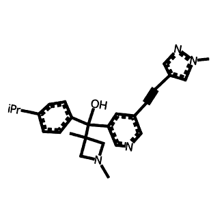 CC(C)c1ccc(C(O)(c2cncc(C#Cc3cnn(C)c3)c2)C2(C)CN(C)C2)cc1